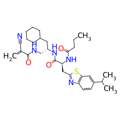 C=C(C#N)C(=O)NC[C@H](CC1CCCCC1)NC(=O)[C@H](Cc1nc2ccc(C(C)C)cc2s1)NC(=O)CCC